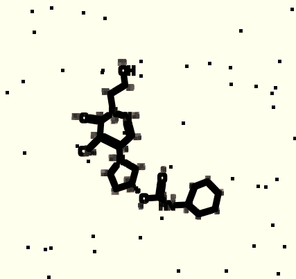 O=C(NC1CCCCC1)O[C@@H]1CCN(c2cnn(CCO)c(=O)c2Cl)C1